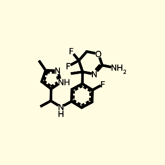 Cc1cc(C(C)Nc2ccc(F)c(C3(C)N=C(N)OCC3(F)F)c2)[nH]n1